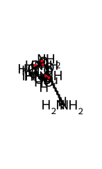 CC[C@H](C)[C@H]1NC(=O)[C@@H](NC(=O)CC(O)CCCCCCCCCCCCN=C(N)N)[C@@H](C)OC(=O)[C@@H](C)NC(=O)[C@@H](CC(N)=O)NC(=O)[C@@H]([C@@H](C)O)NC(=O)[C@H](C(C)C)NC1=O